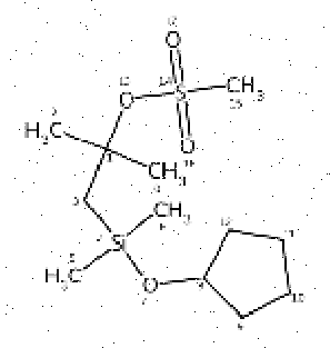 CC(C)(C[Si](C)(C)OC1CCCC1)OS(C)(=O)=O